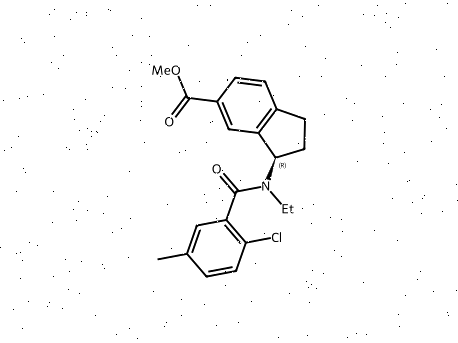 CCN(C(=O)c1cc(C)ccc1Cl)[C@@H]1CCc2ccc(C(=O)OC)cc21